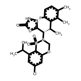 Cc1ccc(F)c(C(C)[C@@H](c2n[nH]c(=O)o2)N2COc3cc(Cl)cc(C(C)O)c3S2(=O)=O)c1C